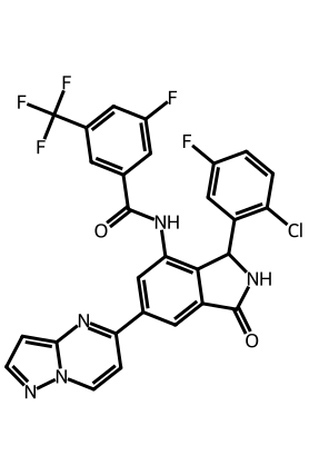 O=C(Nc1cc(-c2ccn3nccc3n2)cc2c1C(c1cc(F)ccc1Cl)NC2=O)c1cc(F)cc(C(F)(F)F)c1